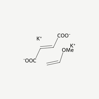 C=COC.O=C([O-])C=CC(=O)[O-].[K+].[K+]